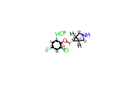 Cl.Fc1ccc(OC[C@@H]2[C@@H]3CNC[C@@H]32)c(Cl)c1